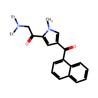 CCN(CC)CC(=O)c1cc(C(=O)c2cccc3ccccc23)cn1C